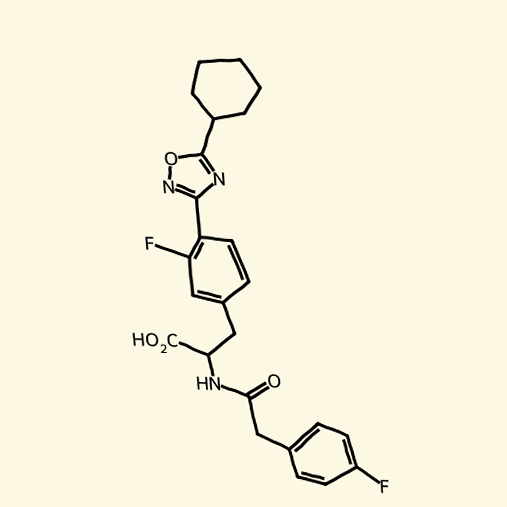 O=C(Cc1ccc(F)cc1)NC(Cc1ccc(-c2noc(C3CCCCC3)n2)c(F)c1)C(=O)O